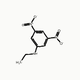 CCNc1cc([N+](=O)[O-])cc([N+](=O)[O-])c1